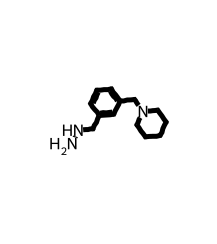 NNCc1cccc(CN2CCCCC2)c1